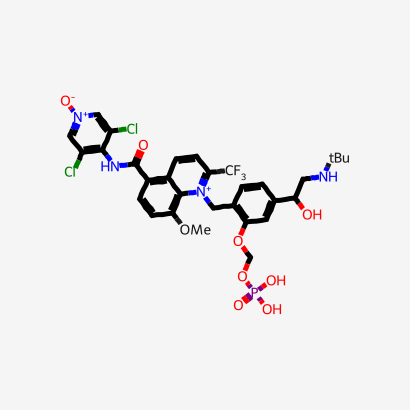 COc1ccc(C(=O)Nc2c(Cl)c[n+]([O-])cc2Cl)c2ccc(C(F)(F)F)[n+](Cc3ccc(C(O)CNC(C)(C)C)cc3OCOP(=O)(O)O)c12